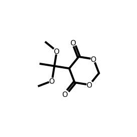 COC(C)(OC)C1C(=O)OCOC1=O